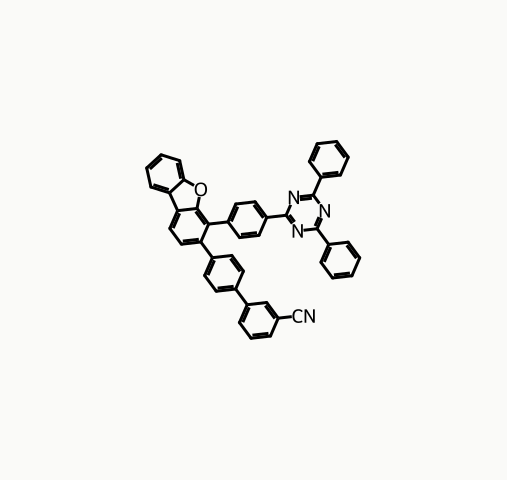 N#Cc1cccc(-c2ccc(-c3ccc4c(oc5ccccc54)c3-c3ccc(-c4nc(-c5ccccc5)nc(-c5ccccc5)n4)cc3)cc2)c1